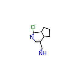 N=CC1=CN=C(Cl)C2CCCC12